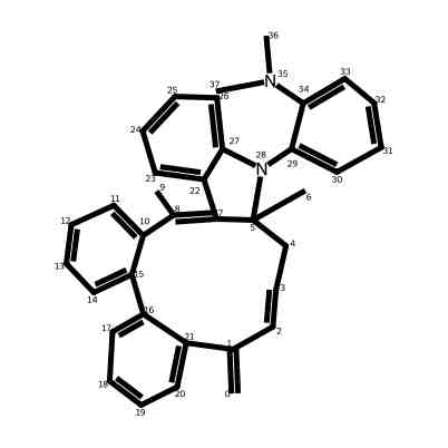 C=C1/C=C\CC2(C)/C(=C(\C)c3ccccc3-c3ccccc31)c1ccccc1N2c1ccccc1N(C)C